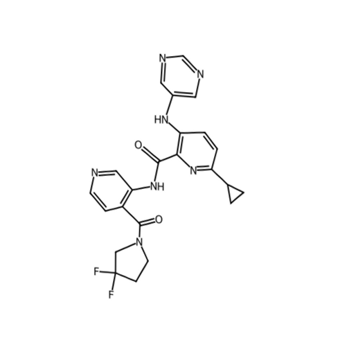 O=C(Nc1cnccc1C(=O)N1CCC(F)(F)C1)c1nc(C2CC2)ccc1Nc1cncnc1